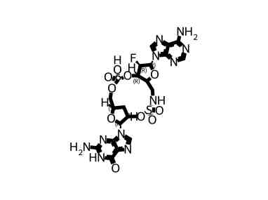 Nc1nc2c(ncn2[C@@H]2O[C@@H]3COP(=O)(O)O[C@@H]4C(CNS(=O)(=O)O[C@@H]2C3)O[C@@H](n2cnc3c(N)ncnc32)[C@@H]4F)c(=O)[nH]1